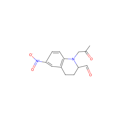 CC(=O)CN1c2ccc([N+](=O)[O-])cc2CCC1C=O